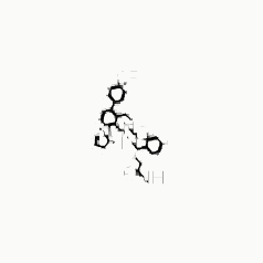 NC(=O)CC[C@H](NC(=O)N1CCc2c(-c3ccc(C(F)(F)F)cc3)ccc(N3CCCC3)c2C1)c1ccccc1